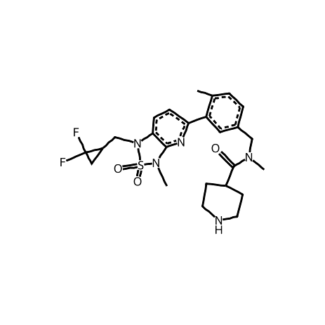 Cc1ccc(CN(C)C(=O)C2CCNCC2)cc1-c1ccc2c(n1)N(C)S(=O)(=O)N2CC1CC1(F)F